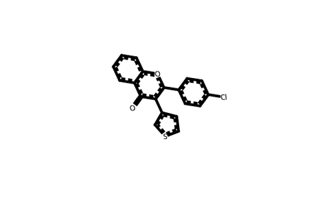 O=c1c(-c2ccsc2)c(-c2ccc(Cl)cc2)oc2ccccc12